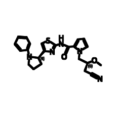 CO[C@@H](CC#N)Cn1cccc1C(=O)Nc1nc([C@H]2CCCN2c2ccccc2)cs1